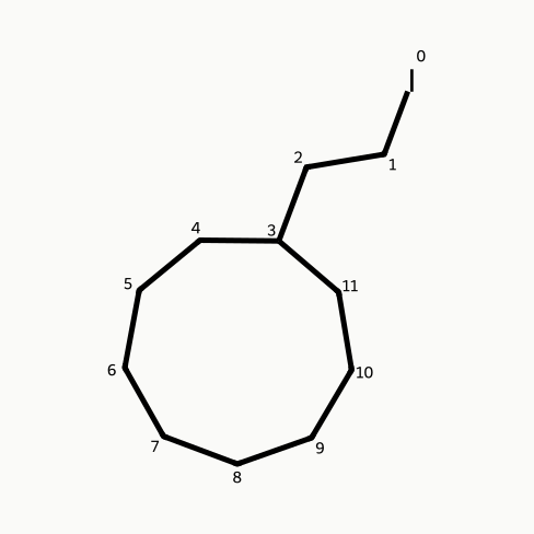 ICCC1CCCCCCCC1